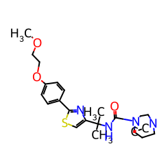 COCCOc1ccc(-c2nc(C(C)(C)NC(=O)N3CCN4CCC3CC4)cs2)cc1